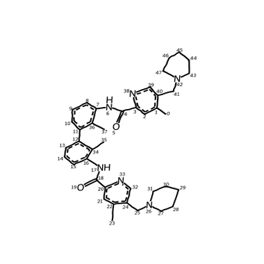 Cc1cc(C(=O)Nc2cccc(-c3cccc(NC(=O)c4cc(C)c(CN5CCCCC5)cn4)c3C)c2C)ncc1CN1CCCCC1